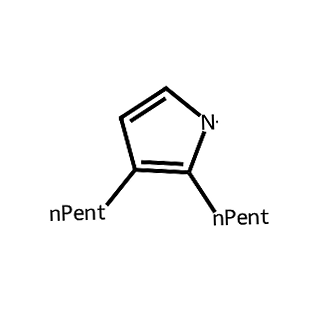 CCCCCC1=C(CCCCC)[N]C=C1